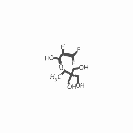 CCC(CO)(CO)CO.O=C(O)C(F)=C(F)F